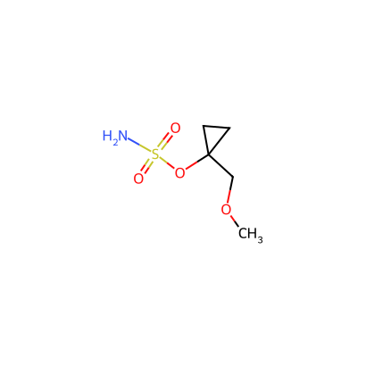 COCC1(OS(N)(=O)=O)CC1